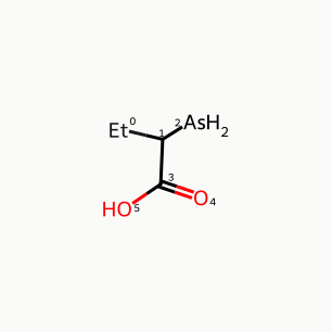 CCC([AsH2])C(=O)O